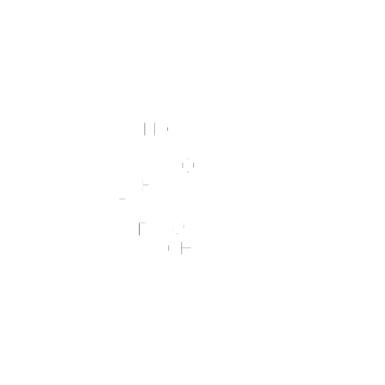 CCOCC(CCC(F)(F)F)(COC)C1CCCCC1